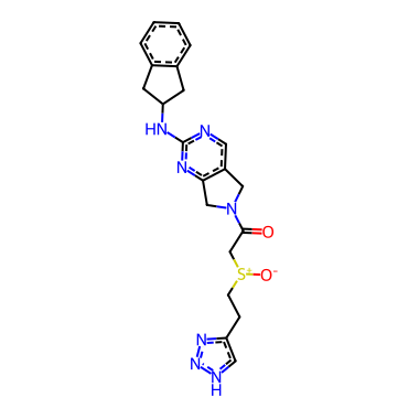 O=C(C[S+]([O-])CCc1c[nH]nn1)N1Cc2cnc(NC3Cc4ccccc4C3)nc2C1